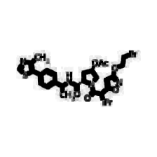 CC(=O)O[C@@H]1C[C@@H](C(=O)NC(C)c2ccc(-c3scnc3C)cc2)N(C(=O)C(c2cc(OCCBr)no2)C(C)C)C1